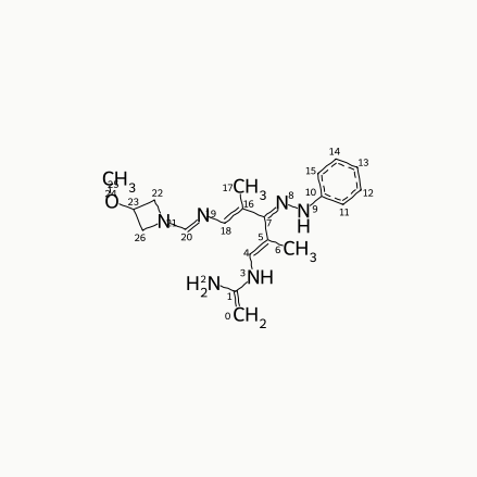 C=C(N)N/C=C(C)/C(=N\Nc1ccccc1)C(/C)=C/N=C/N1CC(OC)C1